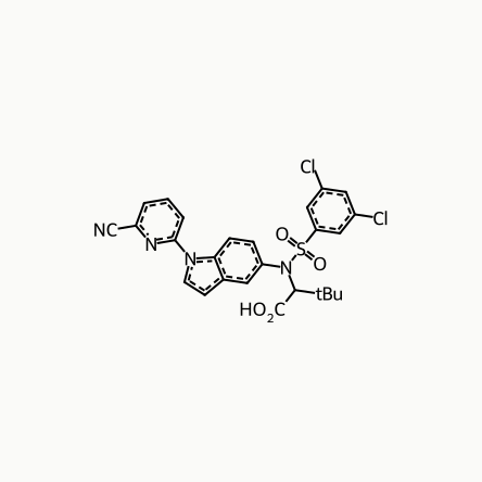 CC(C)(C)C(C(=O)O)N(c1ccc2c(ccn2-c2cccc(C#N)n2)c1)S(=O)(=O)c1cc(Cl)cc(Cl)c1